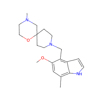 COc1cc(C)c2[nH]ccc2c1CN1CCC2(CC1)CN(C)CCO2